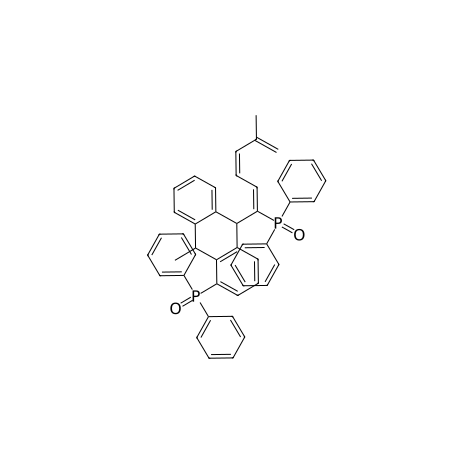 C=C(C)/C=C\C=C(/C1c2ccccc2C(C)c2c1cccc2P(=O)(c1ccccc1)c1ccccc1)P(=O)(c1ccccc1)c1ccccc1